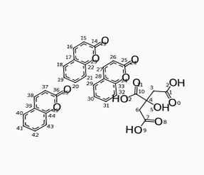 O=C(O)CC(O)(CC(=O)O)C(=O)O.O=c1ccc2ccccc2o1.O=c1ccc2ccccc2o1.O=c1ccc2ccccc2o1